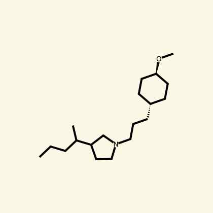 CCCC(C)C1CCN(CCC[C@H]2CC[C@H](OC)CC2)C1